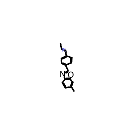 C/C=C/c1ccc(-c2nc3ccc(C)cc3o2)cc1